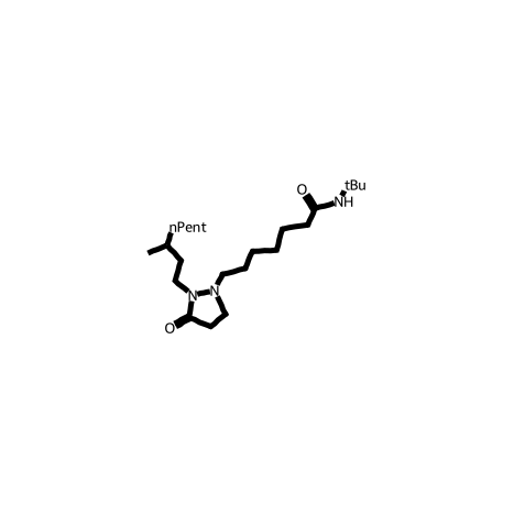 CCCCCC(C)CCN1C(=O)CCN1CCCCCCC(=O)NC(C)(C)C